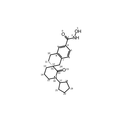 O=C(NO)c1ccc2c(c1)CC[C@]1(CCCN(C3CCCC3)C1=O)C2